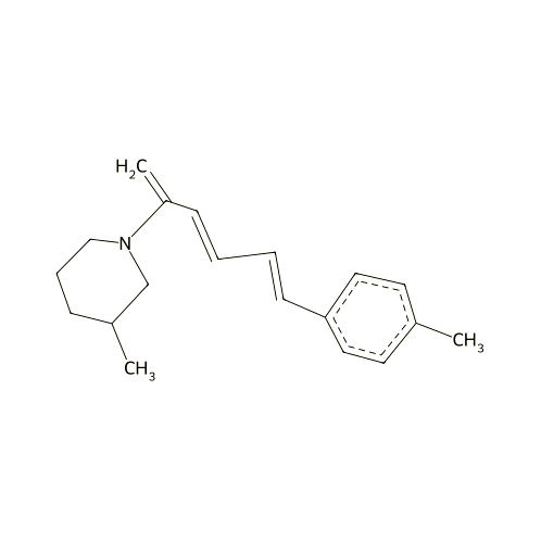 C=C(/C=C/C=C/c1ccc(C)cc1)N1CCCC(C)C1